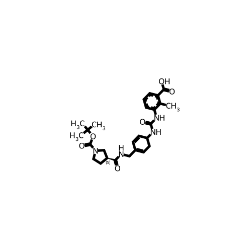 Cc1c(NC(=O)NC2C=CC(CNC(=O)[C@H]3CCN(C(=O)OC(C)(C)C)C3)=CC2)cccc1C(=O)O